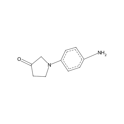 Nc1ccc(N2CCC(=O)C2)cc1